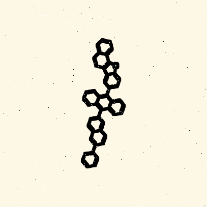 c1ccc(-c2ccc3cc(-c4c5ccccc5c(-c5ccc6oc7c8ccccc8ccc7c6c5)c5ccccc45)ccc3c2)cc1